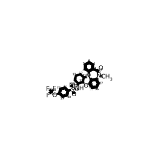 CN1C(=O)c2ccccc2N(C2CCCC(NS(=N)(=O)c3ccc(OC(F)(F)F)cc3)C2O)c2ccccc21